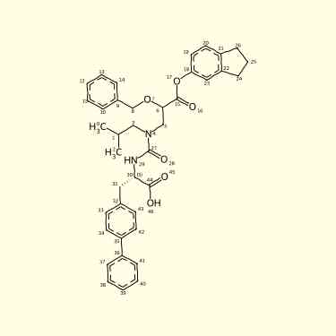 CC(C)CN(CC(OCc1ccccc1)C(=O)Oc1ccc2c(c1)CCC2)C(=O)N[C@@H](Cc1ccc(-c2ccccc2)cc1)C(=O)O